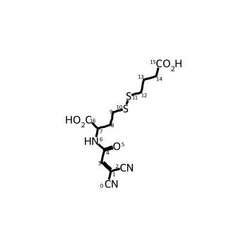 N#CC(C#N)=CC(=O)NC(CCSSCCCC(=O)O)C(=O)O